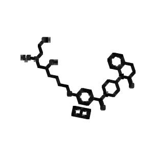 CN(CCO)CC(O)CCCCOc1ccc(C(=O)N2CCC(N3C(=O)CCc4ccccc43)CC2)cc1.c1cc2ccc1-2